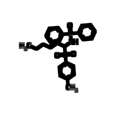 CCCC=CC(NP(=O)(c1ccccc1)c1ccccc1)S(=O)(=O)c1ccc(C)cc1